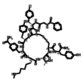 CNCCCCC[C@@H]1NC(=O)[C@@H](Cc2ccc(C(N)=O)cc2)NC(=O)[C@H](Cc2ccc(O)cc2)NC(=O)[C@H](NC(=O)[C@H](Cc2ccc(Cl)cc2)NC(=O)CNC(=O)c2ccccc2)CSSC[C@@H](C(=O)N[C@H](Cc2ccc(O)cc2)C(N)=O)NC(=O)[C@H]([C@@H](C)O)NC1=O